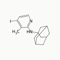 Cc1c(I)ccnc1NC12CC3CC(CC(C3)C1)C2